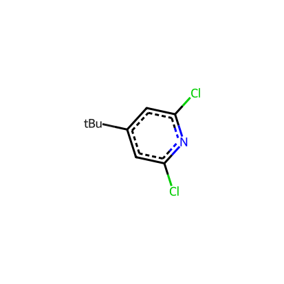 CC(C)(C)c1cc(Cl)nc(Cl)c1